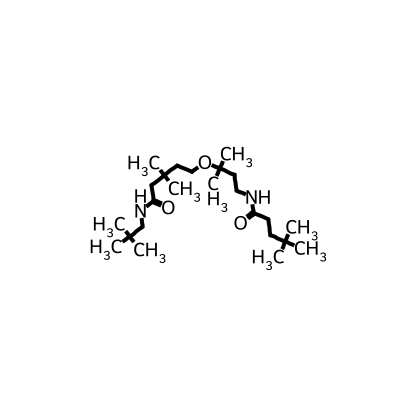 CC(C)(C)CCC(=O)NCCC(C)(C)OCCC(C)(C)CC(=O)NCC(C)(C)C